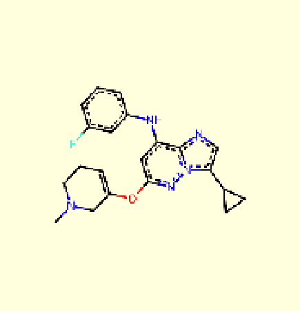 CN1CCC=C(Oc2cc(Nc3cccc(F)c3)c3ncc(C4CC4)n3n2)C1